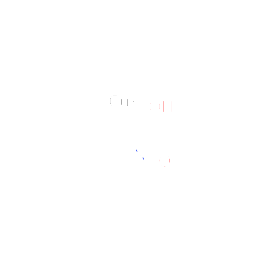 [Cu+2].[O-][n+]1ccccc1O